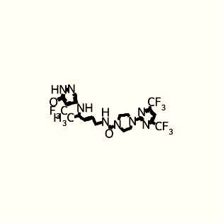 CC(/C=C/CNC(=O)N1CCN(c2nc(C(F)(F)F)cc(C(F)(F)F)n2)CC1)Nc1cn[nH]c(=O)c1C(F)(F)F